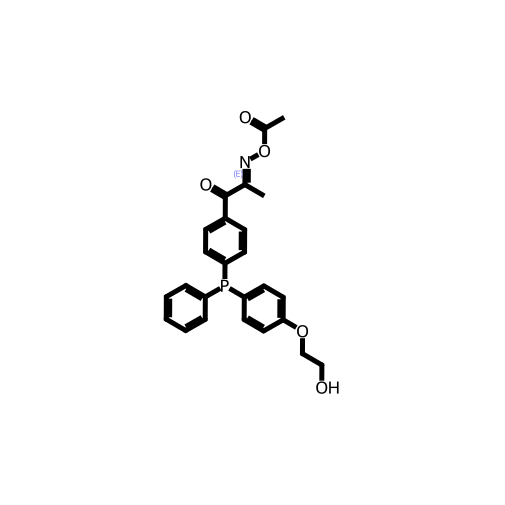 CC(=O)O/N=C(\C)C(=O)c1ccc(P(c2ccccc2)c2ccc(OCCO)cc2)cc1